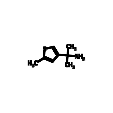 Cc1cc(C(C)(C)N)cs1